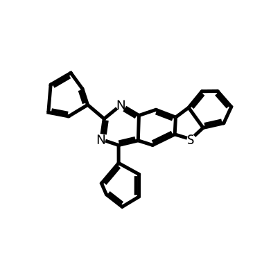 c1ccc(-c2nc(-c3ccccc3)c3cc4sc5ccccc5c4cc3n2)cc1